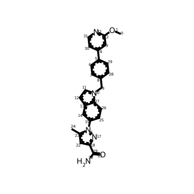 COc1cc(-c2ccc(Cn3ccc4cc(-n5nc(C(N)=O)cc5C)ccc43)cc2)ccn1